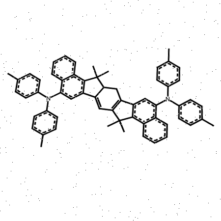 Cc1ccc(N(c2ccc(C)cc2)c2cc3c(c4ccccc24)C(C)(C)C2=C3CC3C(=C2)c2cc(N(c4ccc(C)cc4)c4ccc(C)cc4)c4ccccc4c2C3(C)C)cc1